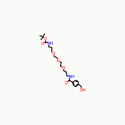 CC(C)(C)OC(=O)NCCCOCCOCCOCCCNC(=O)c1ccc(CO)cc1